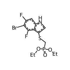 CCOP(=O)(CSc1c[nH]c2cc(F)c(Br)c(F)c12)OCC